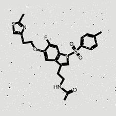 CC(=O)NCCc1cn(S(=O)(=O)c2ccc(C)cc2)c2cc(F)c(OCCc3csc(C)n3)cc12